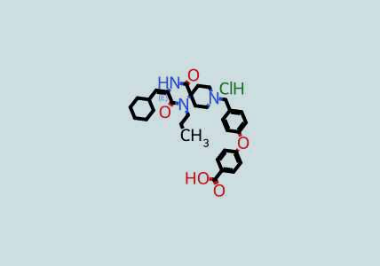 CCCN1C(=O)/C(=C\C2CCCCC2)NC(=O)C12CCN(Cc1ccc(Oc3ccc(C(=O)O)cc3)cc1)CC2.Cl